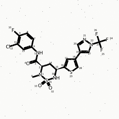 CN1[C@@H](C(=O)Nc2ccc(F)c(Cl)c2)C[C@@H](c2cc(-c3cnn(C(F)(F)F)c3)cs2)NS1(=O)=O